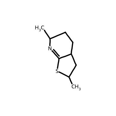 CC1CCC2CC(C)SC2=N1